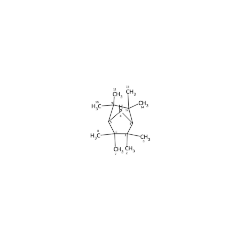 CC1(C)C2PC(C1(C)C)C(C)(C)C2(C)C